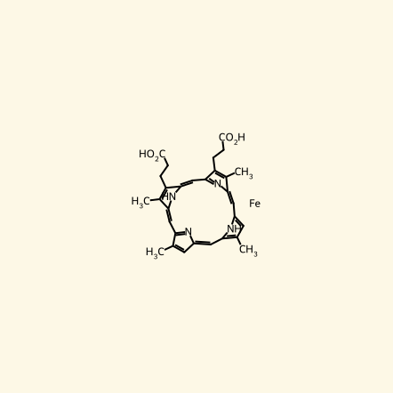 CC1=Cc2cc3[nH]c(cc4nc(cc5[nH]c(cc1n2)c(C)c5CCC(=O)O)C(CCC(=O)O)=C4C)cc3C.[Fe]